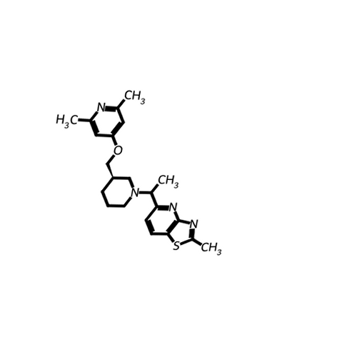 Cc1cc(OC[C@@H]2CCCN(C(C)c3ccc4sc(C)nc4n3)C2)cc(C)n1